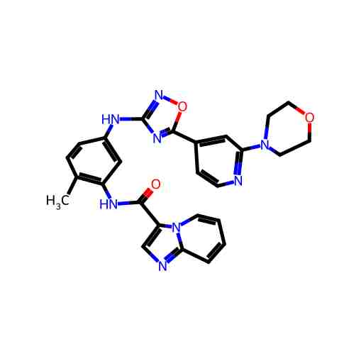 Cc1ccc(Nc2noc(-c3ccnc(N4CCOCC4)c3)n2)cc1NC(=O)c1cnc2ccccn12